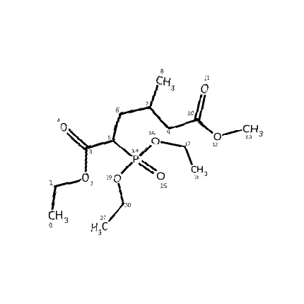 CCOC(=O)C(CC(C)CC(=O)OC)P(=O)(OCC)OCC